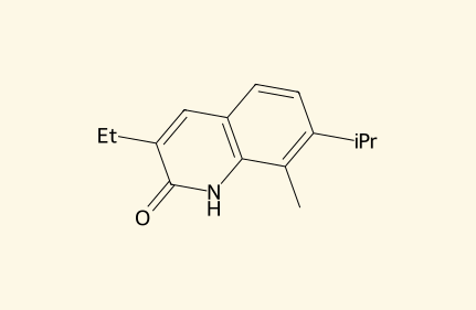 CCc1cc2ccc(C(C)C)c(C)c2[nH]c1=O